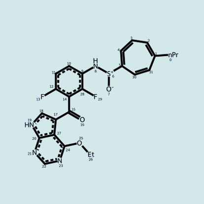 CCCC1=CC=C=C([S+]([O-])Nc2ccc(F)c(C(=O)c3c[nH]c4ncnc(OCC)c34)c2F)C=C1